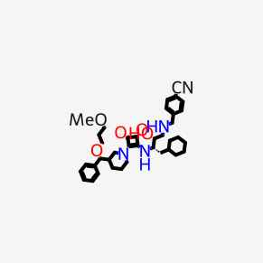 COCCCOC(c1ccccc1)C1CCCN(c2c(N[C@@H](CC3CCCCC3)[C@H](O)CNCc3ccc(C#N)cc3)c(=O)c2=O)C1